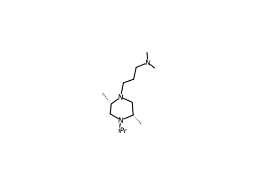 CC(C)N1C[C@H](C)N(CCCN(C)C)C[C@@H]1C